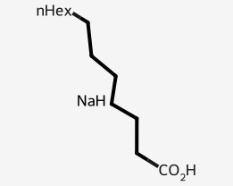 CCCCCCCCCCCCC(=O)O.[NaH]